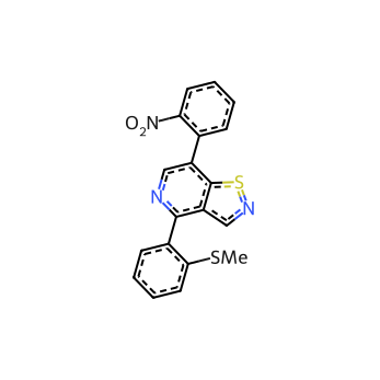 CSc1ccccc1-c1ncc(-c2ccccc2[N+](=O)[O-])c2sncc12